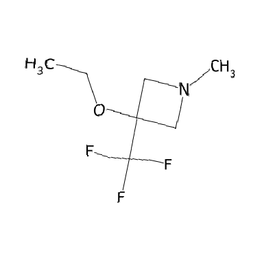 CCOC1(C(F)(F)F)CN(C)C1